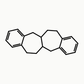 c1ccc2c(c1)CCC1Cc3ccccc3CCC1C2